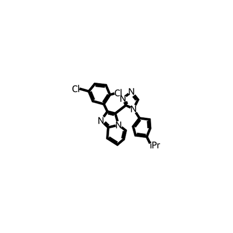 CC(C)c1ccc(-n2cnnc2-c2c(-c3cc(Cl)ccc3Cl)nc3ccccn23)cc1